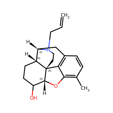 C=CCN1CC[C@@]23c4c5ccc(C)c4O[C@@H]2C(O)CC[C@@H]3[C@@H]1C5